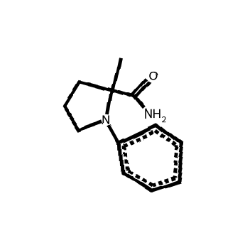 CC1(C(N)=O)CCCN1c1ccccc1